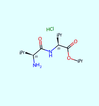 CC(C)OC(=O)[C@@H](NC(=O)[C@@H](N)C(C)C)C(C)C.Cl